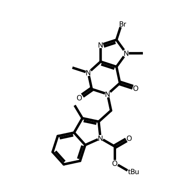 Cc1c(Cn2c(=O)c3c(nc(Br)n3C)n(C)c2=O)n(C(=O)OC(C)(C)C)c2ccccc12